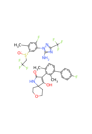 Cc1cc(F)c(-n2nc(C(F)(F)F)nc2N)cc1[S+]([O-])CC(F)(F)F.Cc1ccc(-c2ccc(F)cc2)c(C)c1C1=C(O)C2(CCOCC2)NC1=O